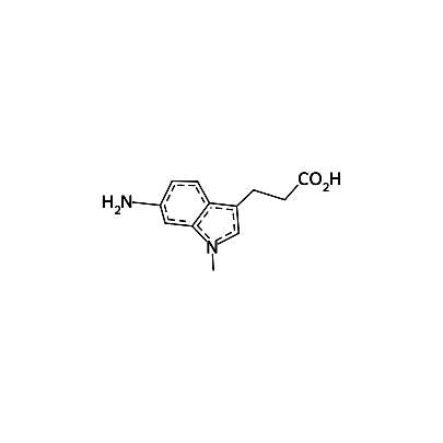 Cn1cc(CCC(=O)O)c2ccc(N)cc21